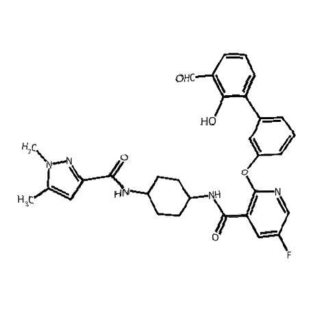 Cc1cc(C(=O)NC2CCC(NC(=O)c3cc(F)cnc3Oc3cccc(-c4cccc(C=O)c4O)c3)CC2)nn1C